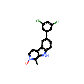 Cc1c2[nH]c3ccc(-c4cc(Cl)cc(Cl)c4)cc3c2cc[n+]1[O-]